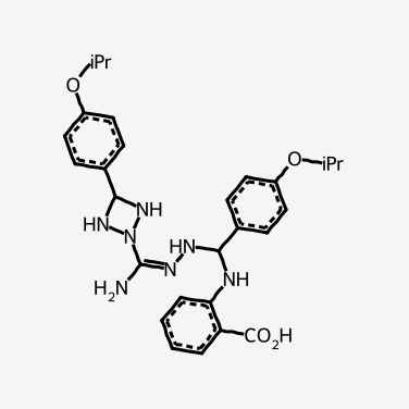 CC(C)Oc1ccc(C(NN=C(N)N2NC(c3ccc(OC(C)C)cc3)N2)Nc2ccccc2C(=O)O)cc1